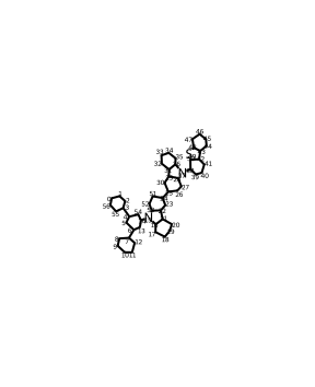 C1CCC(C2CC(C3CCCCC3)CC(N3C4CCCCC4C4CC(C5CCC6C(C5)C5CCCCC5N6C5CCCC6C7CCCCC7SC65)CCC43)C2)CC1